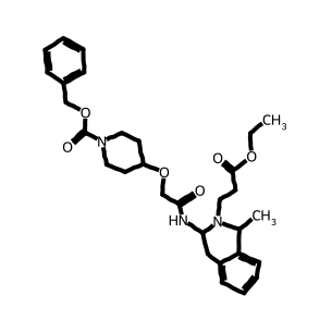 CCOC(=O)CCN1C(NC(=O)COC2CCN(C(=O)OCc3ccccc3)CC2)Cc2ccccc2C1C